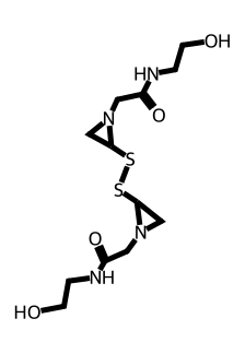 O=C(CN1CC1SSC1CN1CC(=O)NCCO)NCCO